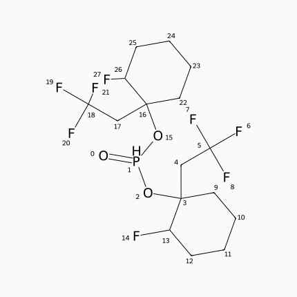 O=[PH](OC1(CC(F)(F)F)CCCCC1F)OC1(CC(F)(F)F)CCCCC1F